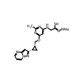 CN/N=C(\S)CNc1cc(OC[C@H]2C[C@@H]2c2cc3ncccn3n2)nc(C)n1